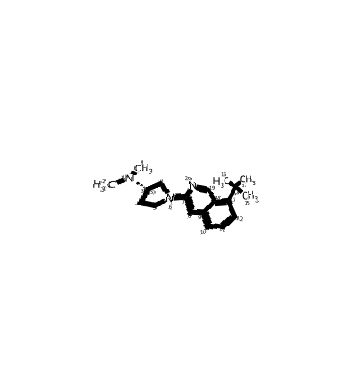 CN(C)[C@H]1CCN(c2cc3cccc(C(C)(C)C)c3cn2)C1